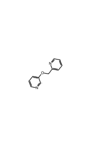 [c]1ncccc1OCc1ccccn1